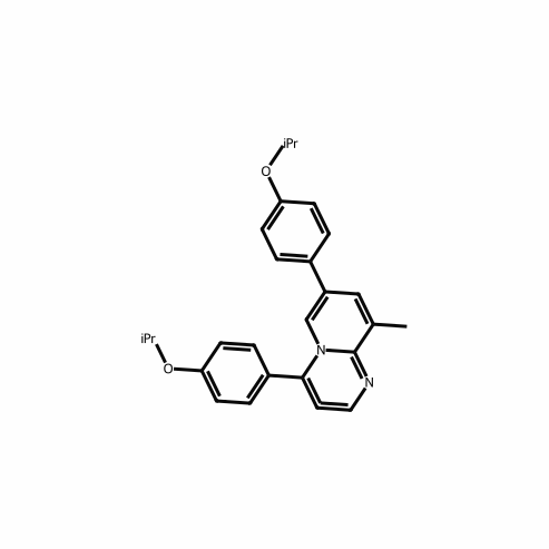 CC1=CC(c2ccc(OC(C)C)cc2)=CN2C(c3ccc(OC(C)C)cc3)=C=CN=C12